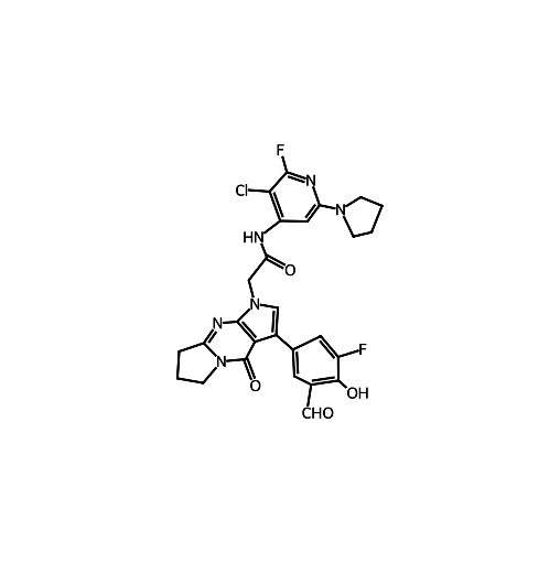 O=Cc1cc(-c2cn(CC(=O)Nc3cc(N4CCCC4)nc(F)c3Cl)c3nc4n(c(=O)c23)CCC4)cc(F)c1O